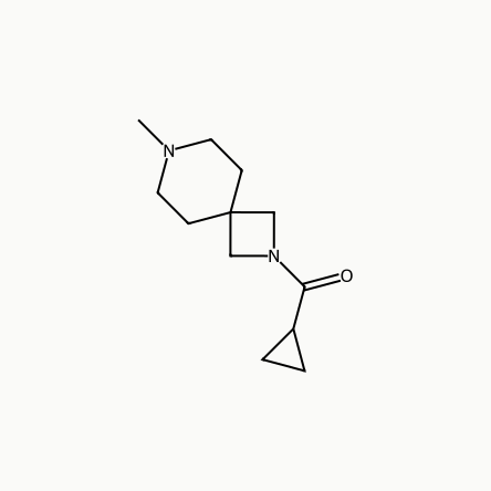 CN1CCC2(CC1)CN(C(=O)C1CC1)C2